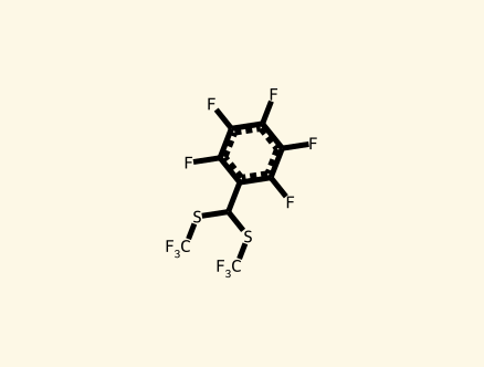 Fc1c(F)c(F)c(C(SC(F)(F)F)SC(F)(F)F)c(F)c1F